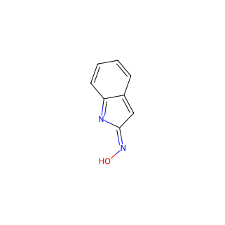 ON=C1C=c2ccccc2=N1